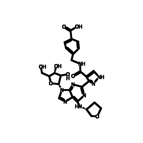 O=C(O)c1ccc(CNC(=O)c2c[nH]nc2-c2nc(N[C@@H]3CCOC3)c3ncn([C@@H]4OC(CO)[C@@H](O)C4O)c3n2)cc1